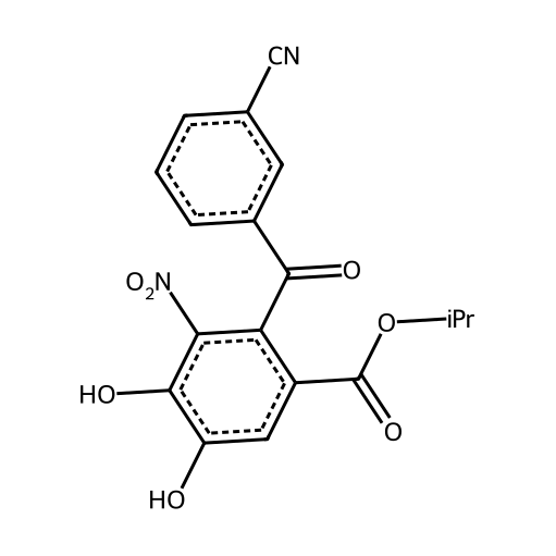 CC(C)OC(=O)c1cc(O)c(O)c([N+](=O)[O-])c1C(=O)c1cccc(C#N)c1